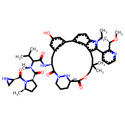 CCn1c(-c2cccnc2[C@H](C)OC)c2c3cc(ccc31)-c1cc(O)cc(c1)C[C@H](NC(=O)C(C(C)C)N(C)C(=O)[C@H]1CC[C@@H](C)N1C(=O)[C@H]1CN1)C(=O)N1CCC[C@H](N1)C(=O)OCC(C)(C)C2